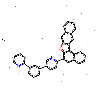 c1ccc(-c2cccc(-c3ccc(-c4cc5ccccc5c5c4oc4cc6ccccc6cc45)nc3)c2)nc1